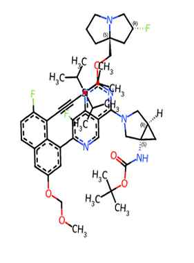 COCOc1cc(-c2ncc3c(N4C[C@H]5C[C@@]5(NC(=O)OC(C)(C)C)C4)nc(OC[C@@]45CCCN4C[C@H](F)C5)nc3c2F)c2c(C#C[Si](C(C)C)(C(C)C)C(C)C)c(F)ccc2c1